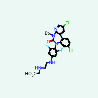 CCN1C(=O)N(c2c(F)cc(NCCNCC(=O)O)cc2F)c2cc(Cl)ccc2-c2cc(Cl)cnc21